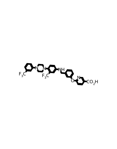 O=C(O)c1ccc(Oc2cccc(CNc3ccc(N4CCN(c5cccc(C(F)(F)F)c5)CC4)c(C(F)(F)F)c3)c2)nc1